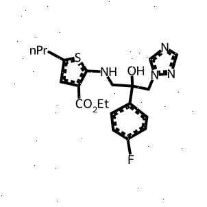 CCCc1cc(C(=O)OCC)c(NCC(O)(Cn2cncn2)c2ccc(F)cc2)s1